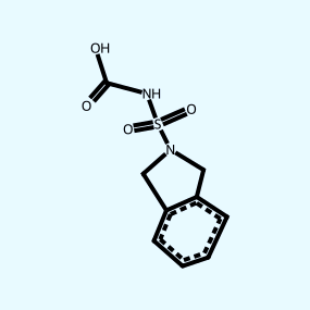 O=C(O)NS(=O)(=O)N1Cc2ccccc2C1